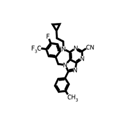 Cc1cccc(-c2nc3nc(C#N)nc(NCCC4CC4)c3n2Cc2ccc(F)c(C(F)(F)F)c2)c1